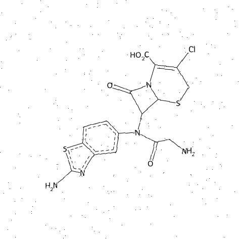 NCC(=O)N(c1ccc2sc(N)nc2c1)C1C(=O)N2C(C(=O)O)=C(Cl)CSC12